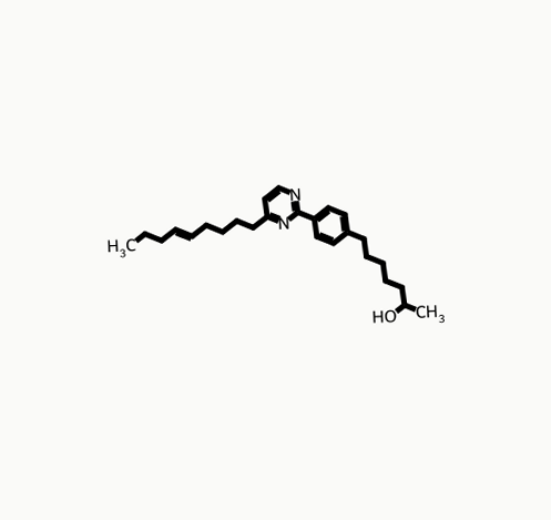 CCCC=CCCCCc1ccnc(-c2ccc(CCCCCC(C)O)cc2)n1